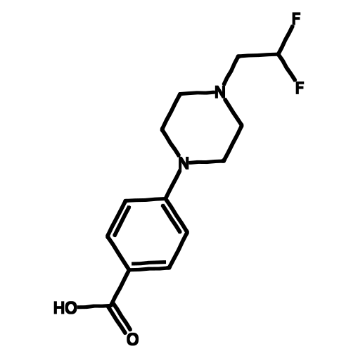 O=C(O)c1ccc(N2CCN(CC(F)F)CC2)cc1